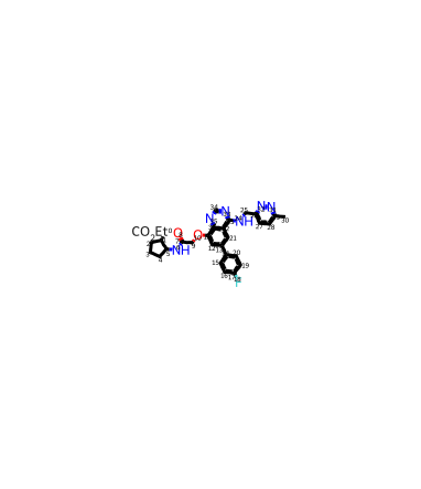 CCOC(=O)C1CCCC1NC(=O)COc1cc(-c2ccc(F)cc2)cc2c(NCc3ccc(C)nn3)ncnc12